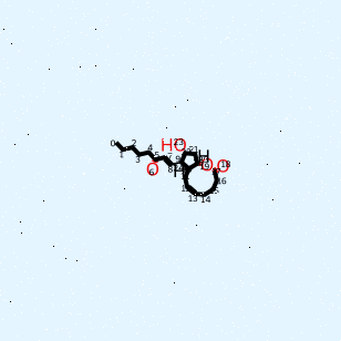 CCCCCC(=O)/C=C/[C@@H]1[C@H]2C/C=C\CCCC(=O)O[C@H]2C[C@H]1O